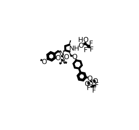 COc1ccc(CN([C@H]2C[C@@H](C)N[C@H]2COC2CCC(c3cccc(OS(=O)(=O)C(F)(F)F)c3)CC2)S(=O)(=O)N(C)C)cc1.O=C(O)C(F)(F)F